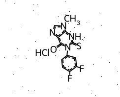 Cl.Cn1cnc2c(=O)n(-c3ccc(F)c(F)c3)c(=S)[nH]c21